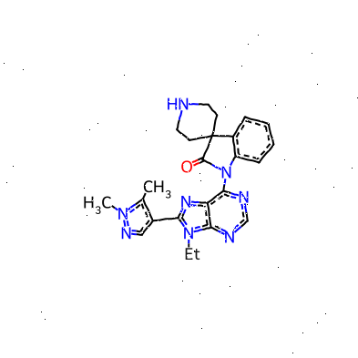 CCn1c(-c2cnn(C)c2C)nc2c(N3C(=O)C4(CCNCC4)c4ccccc43)ncnc21